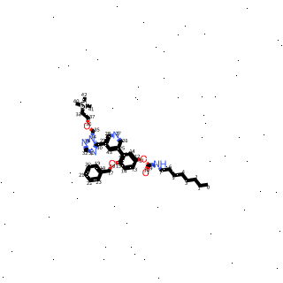 CCCCCCCCNC(=O)Oc1ccc(OCc2ccccc2)c(-c2cncc(-c3ncnn3COCC[Si](C)(C)C)c2)c1